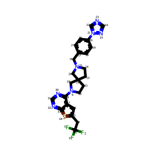 FC(F)(F)Cc1cc2c(N3CCC4(CCN(Cc5ccc(-n6cncn6)cc5)C4)C3)ncnc2s1